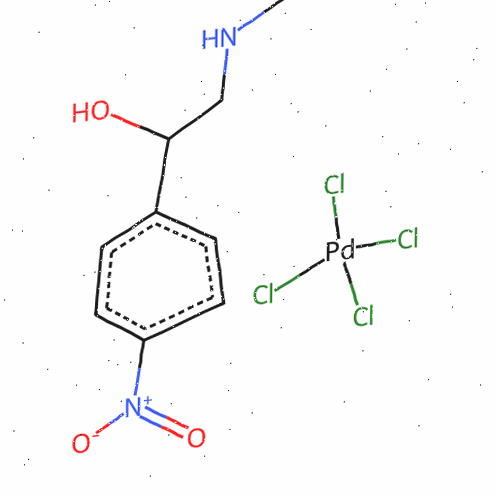 CNCC(O)c1ccc([N+](=O)[O-])cc1.[Cl][Pd]([Cl])([Cl])[Cl]